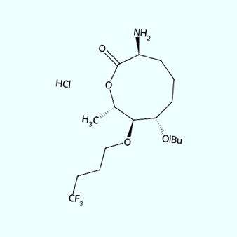 CC(C)CO[C@H]1CCC[C@H](N)C(=O)O[C@@H](C)[C@@H]1OCCCC(F)(F)F.Cl